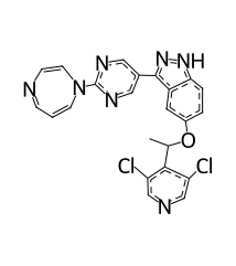 CC(Oc1ccc2[nH]nc(-c3cnc(N4C=CC=NC=C4)nc3)c2c1)c1c(Cl)cncc1Cl